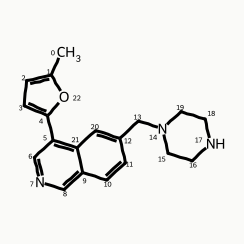 Cc1ccc(-c2cncc3ccc(CN4CCNCC4)cc23)o1